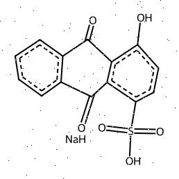 O=C1c2ccccc2C(=O)c2c(S(=O)(=O)O)ccc(O)c21.[NaH]